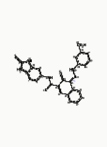 O=C(Nc1ccc2[nH]c(=O)[nH]c2c1)C1=Cc2ccccc2/C(=N/Nc2cccc(C(=O)O)c2)C1=O